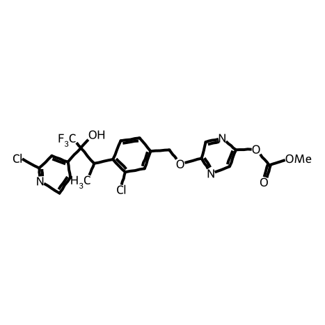 COC(=O)Oc1cnc(OCc2ccc(C(C)C(O)(c3ccnc(Cl)c3)C(F)(F)F)c(Cl)c2)cn1